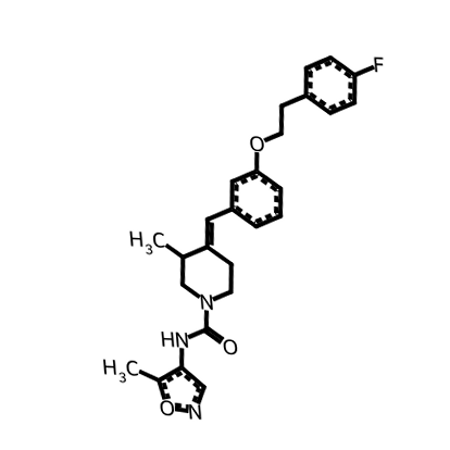 Cc1oncc1NC(=O)N1CCC(=Cc2cccc(OCCc3ccc(F)cc3)c2)C(C)C1